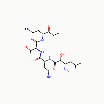 CCC(=O)[C@H](CCN)NC(=O)[C@@H](NC(=O)[C@H](CCN)NC(=O)[C@@H](O)[C@@H](N)CC(C)C)C(C)O